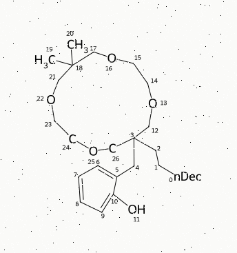 CCCCCCCCCCCCC1(Cc2ccccc2O)COCCOCC(C)(C)COCCOC1